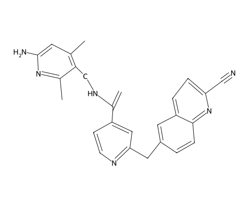 C=C(NCc1c(C)cc(N)nc1C)c1ccnc(Cc2ccc3nc(C#N)ccc3c2)c1